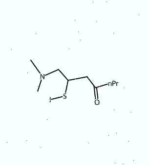 CCCC(=O)CC(CN(C)C)SI